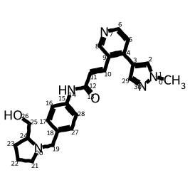 Cn1cc(-c2ccncc2/C=C/C(=O)Nc2ccc(CN3CCCC3CO)cc2)cn1